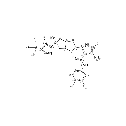 Cn1nc(C2CC3CC(O)(c4ncc(C(F)(F)F)n4C)CC3C2)c(C(=O)Nc2ccc(F)c(Cl)c2)c1N